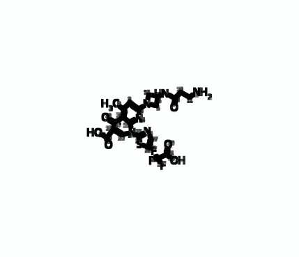 Cc1cc(N2CC(NC(=O)CCN)C2)nc2c1c(=O)c(C(=O)O)cn2-c1nccs1.O=C(O)C(F)(F)F